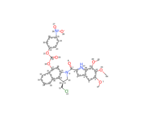 COc1cc2cc(C(=O)N3C[C@@H](CCl)c4c3cc(OC(=O)Oc3ccc([N+](=O)[O-])cc3)c3ccccc43)[nH]c2c(OC)c1OC